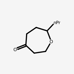 CCCC1CCC(=O)CCO1